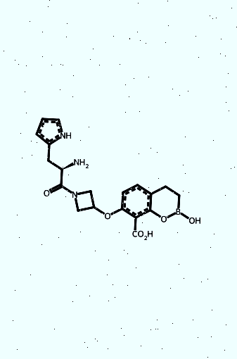 N[C@H](Cc1ccc[nH]1)C(=O)N1CC(Oc2ccc3c(c2C(=O)O)OB(O)CC3)C1